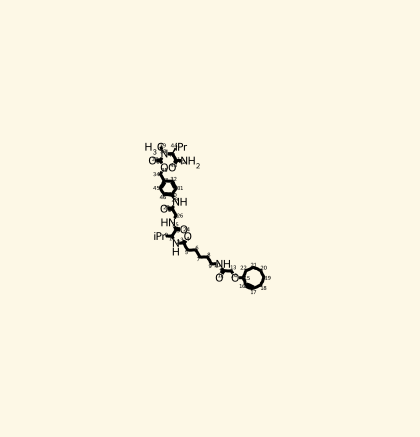 CC(C)C(NC(=O)CCCCCNC(=O)COC1C#CCCCCC1)C(=O)NCC(=O)Nc1ccc(COC(=O)N(C)[C@H](C(N)=O)C(C)C)cc1